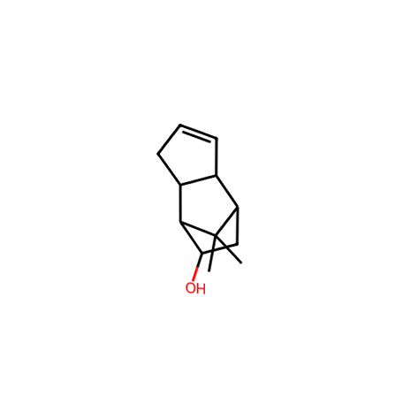 CC1(C)C2CC(O)C1C1CC=CC12